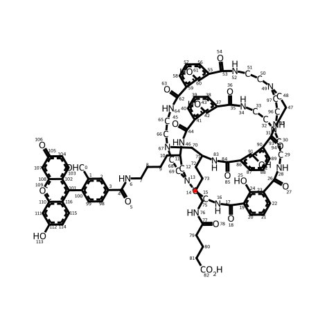 O=Cc1cc(C(=O)NCCCCC2CN3CCNC(=O)c4cccc(c4O)C(=O)NCCN(CCNC(=O)c4cccc(c4O)C(=O)N2)CCN2CCNC(=O)c4cccc(c4O)C(=O)NCCN(CC3)CC(CCCCNC(=O)CCCC(=O)O)NC(=O)c3cccc(c3O)C(=O)NCC2)ccc1-c1c2ccc(=O)cc-2oc2cc(O)ccc12